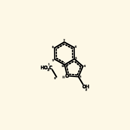 CC(=O)O.Oc1cc2ccccc2o1